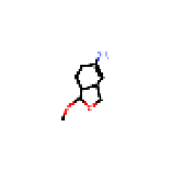 COC1OCC2C=C(N)CCC21